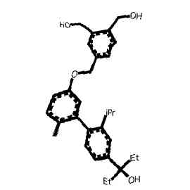 CCC(O)(CC)c1ccc(-c2cc(OCc3ccc(CO)c(CO)c3)ccc2C)c(C(C)C)c1